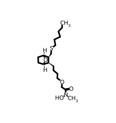 CCCCCCSC[C@H]1[C@@H](CCCCOCC(=O)N(C)O)[C@H]2CC[C@@H]1O2